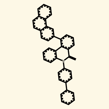 C=C1c2cccc(-c3ccc4ccc5ccccc5c4c3)c2-c2ccccc2N1c1ccc(-c2ccccc2)cc1